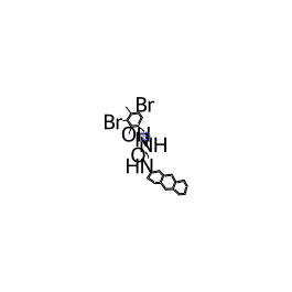 Cc1c(Br)cc(/C=N/NC(=O)CNc2ccc3cc4ccccc4cc3c2)c(O)c1Br